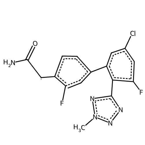 Cn1nnc(-c2c(F)cc(Cl)cc2-c2ccc([CH]C(N)=O)c(F)c2)n1